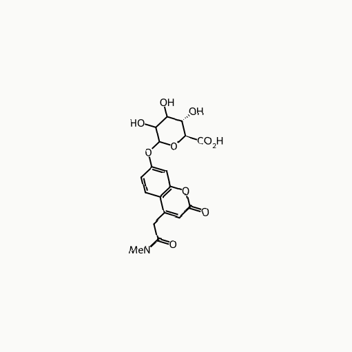 CNC(=O)Cc1cc(=O)oc2cc(OC3OC(C(=O)O)[C@@H](O)C(O)C3O)ccc12